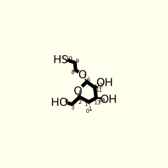 C[C@@H]1C(CO)O[C@H](OCCS)C(O)[C@H]1O